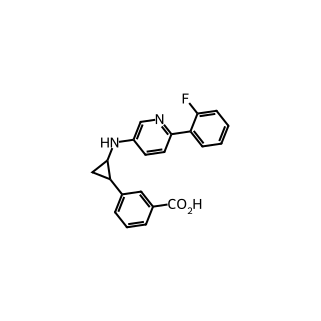 O=C(O)c1cccc(C2CC2Nc2ccc(-c3ccccc3F)nc2)c1